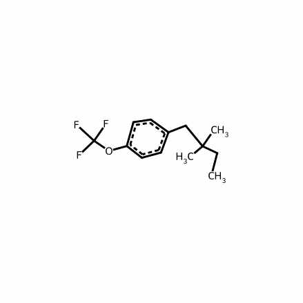 CCC(C)(C)Cc1ccc(OC(F)(F)F)cc1